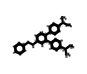 CN(C)c1ccc(-c2nnc(OCc3ccccc3)nc2-c2ccc(N(C)C)cc2)cc1